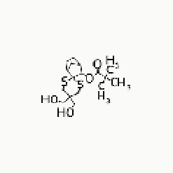 CC(C)(C)C(=O)OC1C2CCC(C2)C12SCC(CO)(CO)CS2